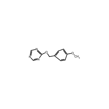 COc1ccc(COc2ncncn2)cc1